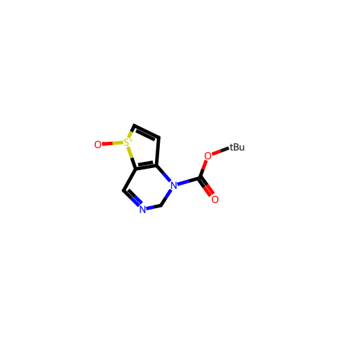 CC(C)(C)OC(=O)N1CN=Cc2c1cc[s+]2[O-]